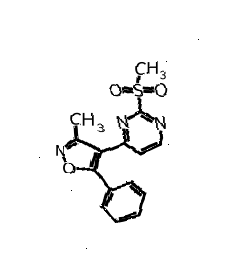 Cc1noc(-c2ccccc2)c1-c1ccnc(S(C)(=O)=O)n1